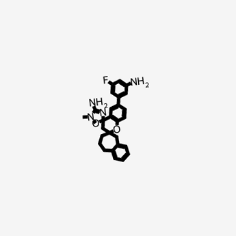 CN1OC2(CC3(CCCc4ccccc4C3)Oc3ccc(-c4cc(N)cc(F)c4)cc32)N=C1N